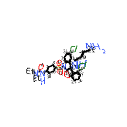 CCN(CC)C(=O)Nc1ccc(S(=O)(=O)N2C(=O)C(NCCCCN)(c3ccccc3Cl)c3cc(Cl)ccc32)cc1